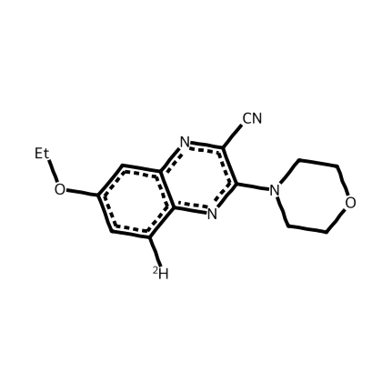 [2H]c1cc(OCC)cc2nc(C#N)c(N3CCOCC3)nc12